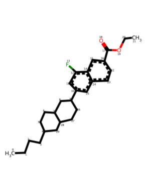 CCCCC1CCC2CC(c3cc(F)c4cc(C(=O)OCC)ccc4c3)CCC2C1